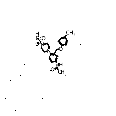 CC(=O)Nc1ccc(N2CCN(S(C)(=O)=O)CC2)c(COc2ccc(C)cc2)c1